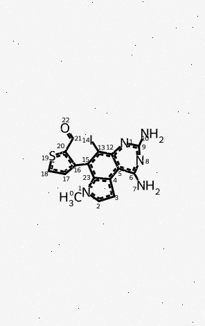 Cn1ccc2c3c(N)nc(N)nc3c(I)c(-c3ccsc3C=O)c21